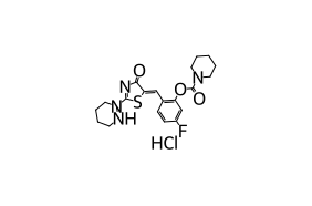 Cl.O=C1N=C(N2CCCCN2)SC1=Cc1ccc(F)cc1OC(=O)N1CCCCC1